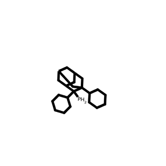 PC1(C2CCCCC2)C2CC3CC(C2)CC1(C1CCCCC1)C3